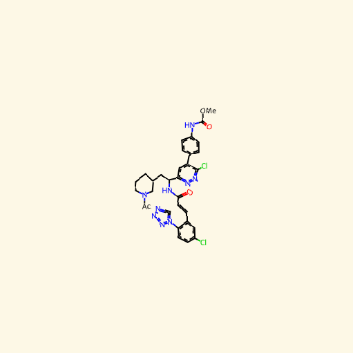 COC(=O)Nc1ccc(-c2cc(C(CC3CCCN(C(C)=O)C3)NC(=O)C=Cc3cc(Cl)ccc3-n3cnnn3)nnc2Cl)cc1